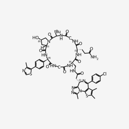 Cc1ncsc1-c1ccc([C@H]2NC(=O)[C@@H]3C[C@@H](O)CN3C(=O)C(C(C)(C)C)NC(=O)CNC(=O)[C@H](CCC(N)=O)NC(=O)[C@@H](CNC(=O)C[C@@H]3N=C(c4ccc(Cl)cc4)c4c(sc(C)c4C)-n4c(C)nnc43)NC(=O)CNC2=O)cc1